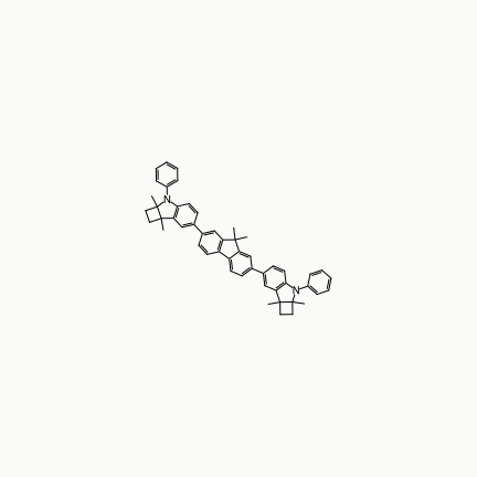 CC1(C)c2cc(-c3ccc4c(c3)C3(C)CCC3(C)N4c3ccccc3)ccc2-c2ccc(-c3ccc4c(c3)C3(C)CCC3(C)N4c3ccccc3)cc21